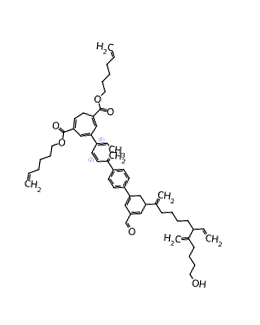 C=CCCCCOC(=O)C1=CCC(C(=O)OCCCCC=C)=CC(C(/C=C\C(=C)c2ccc(C3=CC(C=O)=CC(C(=C)CCCCC(C=C)C(=C)CCCCO)C3)cc2)=C/C)=C1